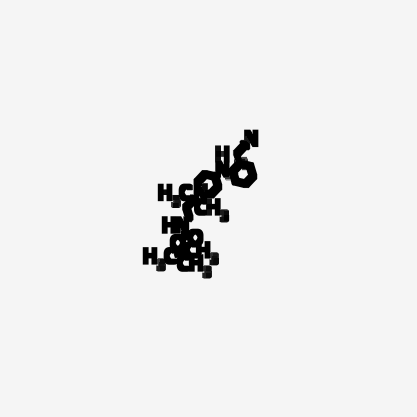 CC(C)(C)OC(=O)NCCC(C)(C)N1CCC(N[C@H]2CCCC[C@@H]2CC#N)CC1